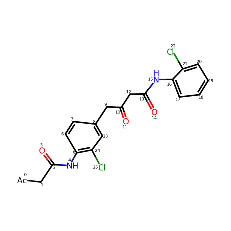 CC(=O)CC(=O)Nc1ccc(CC(=O)CC(=O)Nc2ccccc2Cl)cc1Cl